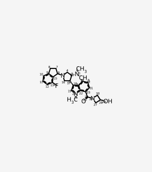 CN(C)[C@H]1CN(C2CCc3cccc(F)c32)C[C@@H]1c1cn(C)c2c(C(=O)N3CC(O)C3)cccc12